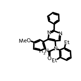 CCc1cccc(CC)c1N(C(N)=O)c1cnc(-c2ccccc2)nc1-c1cccc(OC)c1